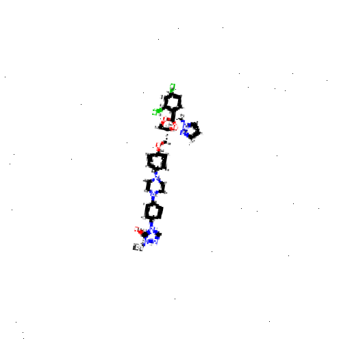 CCC(C)n1ncn(-c2ccc(N3CCN(c4ccc(OC[C@@H]5CO[C@@](Cn6cccn6)(c6ccc(Cl)cc6Cl)O5)cc4)CC3)cc2)c1=O